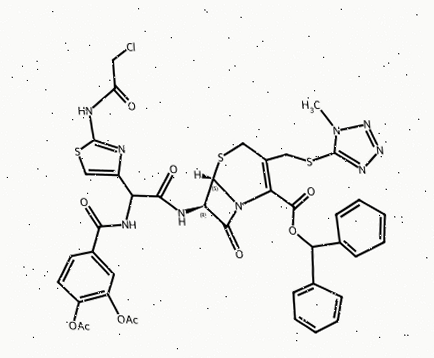 CC(=O)Oc1ccc(C(=O)NC(C(=O)N[C@@H]2C(=O)N3C(C(=O)OC(c4ccccc4)c4ccccc4)=C(CSc4nnnn4C)CS[C@@H]23)c2csc(NC(=O)CCl)n2)cc1OC(C)=O